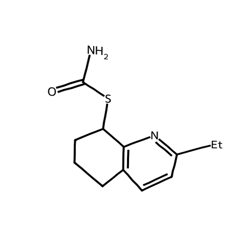 CCc1ccc2c(n1)C(SC(N)=O)CCC2